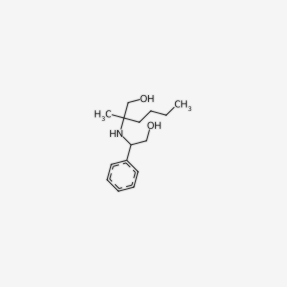 CCCCC(C)(CO)NC(CO)c1ccccc1